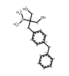 CN(C)C(CO)(CO)Cc1ccc(Cc2ccccc2)cc1